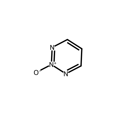 [O-][n+]1ncccn1